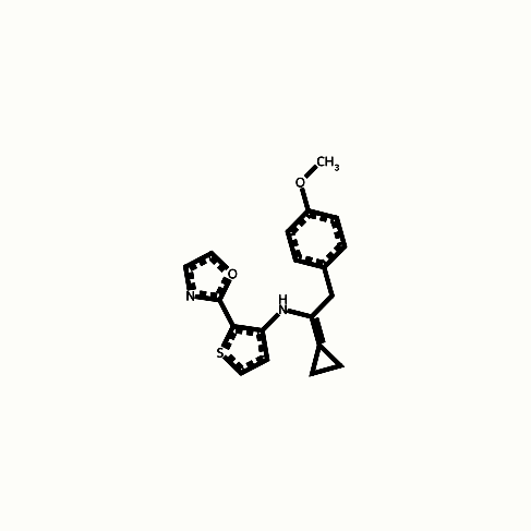 COc1ccc(CC(Nc2ccsc2-c2ncco2)=C2CC2)cc1